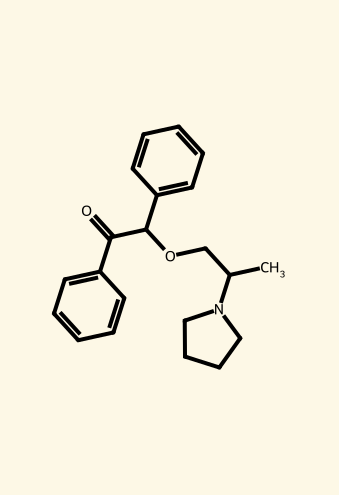 CC(COC(C(=O)c1ccccc1)c1ccccc1)N1CCCC1